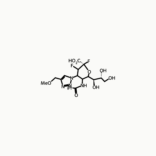 COCc1cn(C2C(NC(=O)C(C)C)C([C@H](O)[C@H](O)CO)O[C@@](F)(C(=O)O)C2F)nn1